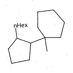 CCCCCC[C]1CCCC1C1(C)CCCCC1